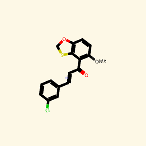 COc1ccc2c(c1C(=O)/C=C/c1cccc(Cl)c1)SCO2